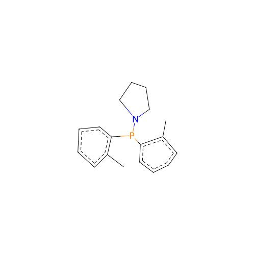 Cc1ccccc1P(c1ccccc1C)N1CCCC1